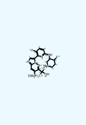 COc1cc2ncc(-c3nc(NC4CNCCC4F)ccc3F)n2nc1C(C)(C)O